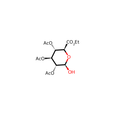 CCOC(=O)[C@H]1O[C@@H](O)[C@H](OC(C)=O)[C@@H](OC(C)=O)[C@@H]1OC(C)=O